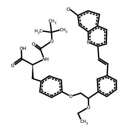 CCOC(COc1ccc(C[C@H](NC(=O)OC(C)(C)C)C(=O)O)cc1)c1cccc(/C=C/c2ccc3ccc(Cl)cc3n2)c1